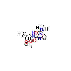 COC1OC1C(CC(C)C)NC(=O)c1nc2ccccc2n([C@H]2C[C@H]3CC[C@@H](C2)N3C2CCCCCCC2)c1=O